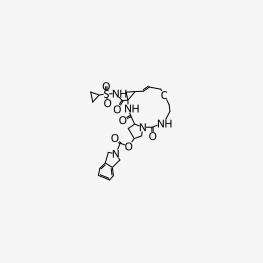 O=C1NC2(C(=O)NS(=O)(=O)C3CC3)CC2/C=C/CCCCCNC(=O)N2CC(OC(=O)N3Cc4ccccc4C3)CC12